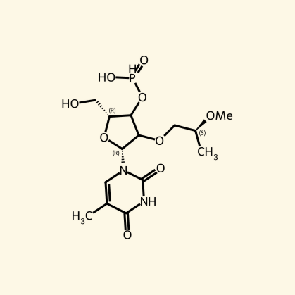 CO[C@@H](C)COC1C(O[PH](=O)O)[C@@H](CO)O[C@H]1n1cc(C)c(=O)[nH]c1=O